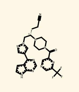 N#CCC[C@@H](Cn1cc(-c2ncnc3[nH]ccc23)cn1)N1CCN(C(=O)c2cncc(C(F)(F)F)n2)CC1